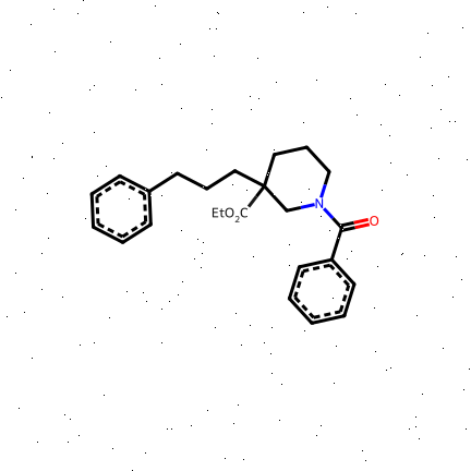 CCOC(=O)C1(CCCc2ccccc2)CCCN(C(=O)c2ccccc2)C1